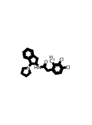 Cc1c(CC(=O)NC2Cc3ccccc3C2N2CCCC2)ccc(Cl)c1Cl